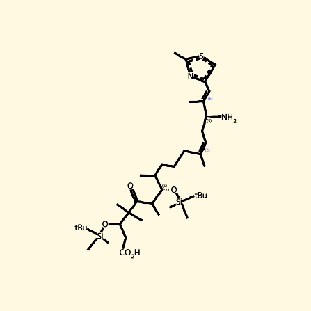 C/C(=C/C[C@H](N)/C(C)=C/c1csc(C)n1)CCCC(C)[C@H](O[Si](C)(C)C(C)(C)C)C(C)C(=O)C(C)(C)C(CC(=O)O)O[Si](C)(C)C(C)(C)C